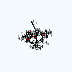 CCCCCCCCNC(=O)NC(=O)C[C@@H]1NC(=O)[C@H](NC(=O)[C@@H](CC(C)C)NC)[C@H](O)c2ccc(c(C)c2)Oc2cc3cc(c2O[C@@H]2O[C@H](CO)[C@@H](O)[C@H](O)[C@H]2O)Oc2ccc(cc2Cl)[C@@H](O)[C@@H]2NC(=O)[C@H](NC(=O)[C@@H]3NC1=O)c1ccc(O)c(c1)-c1c(C)cc(O)cc1[C@@H](C(=O)N=C(C)C)NC2=O